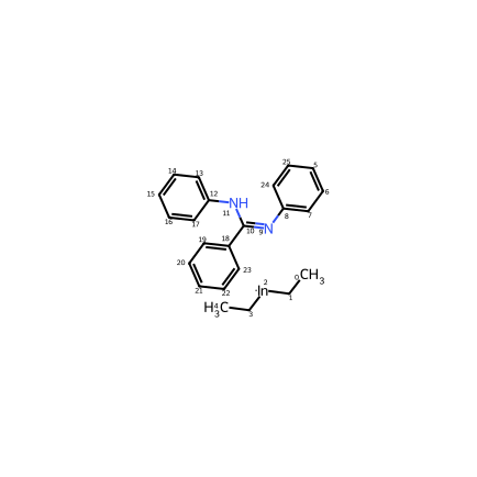 C[CH2][In][CH2]C.c1ccc(N=C(Nc2ccccc2)c2ccccc2)cc1